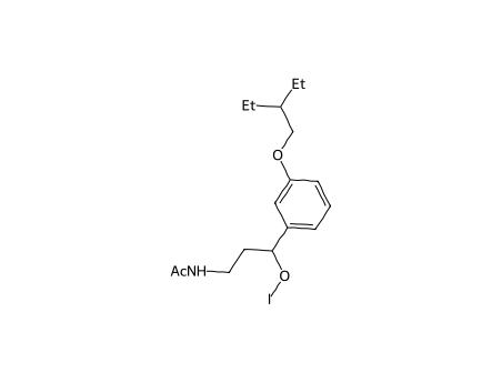 CCC(CC)COc1cccc(C(CCNC(C)=O)OI)c1